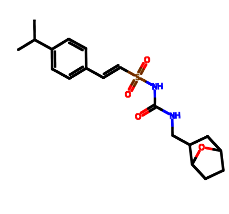 CC(C)c1ccc(C=CS(=O)(=O)NC(=O)NCC2CC3CCC2O3)cc1